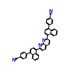 N#Cc1ccc(-c2ccc(-c3ccc4ccc(-c5ccc(-c6ccc(C#N)cc6)c6ccccc56)nc4n3)c3ccccc23)cc1